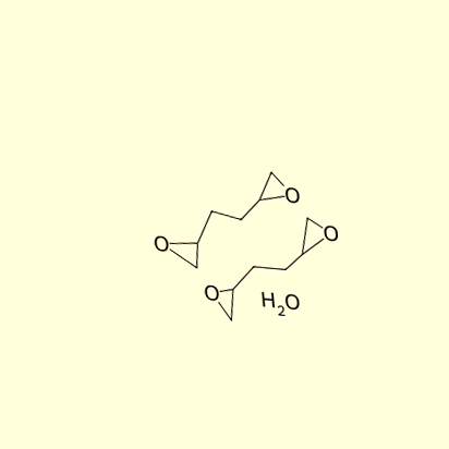 C(CC1CO1)C1CO1.C(CC1CO1)C1CO1.O